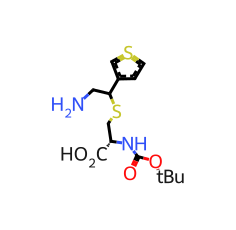 CC(C)(C)OC(=O)N[C@@H](CSC(CN)c1ccsc1)C(=O)O